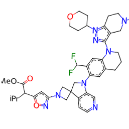 COC(=O)C(c1cc(N2CC3(C2)CN(c2cc4c(cc2C(F)F)N(c2nn(C5CCOCC5)c5c2CN(C(C)=O)CC5)CCC4)c2cnccc23)no1)C(C)C